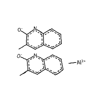 Cc1cc2ccccc2nc1[O-].Cc1cc2ccccc2nc1[O-].[CH3][Al+2]